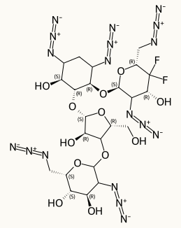 [N-]=[N+]=NC[C@@H]1OC(OC2[C@@H](O)[C@H](O[C@H]3[C@H](O[C@H]4O[C@H](CN=[N+]=[N-])C(F)(F)[C@H](O)C4N=[N+]=[N-])C(N=[N+]=[N-])CC(N=[N+]=[N-])[C@@H]3O)O[C@@H]2CO)C(N=[N+]=[N-])[C@@H](O)[C@@H]1O